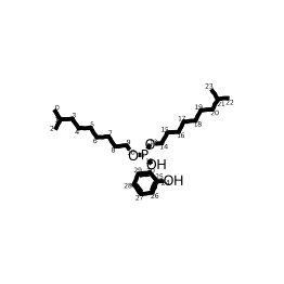 CC(C)CCCCCCCOP(O)OCCCCCCCC(C)C.Oc1ccccc1